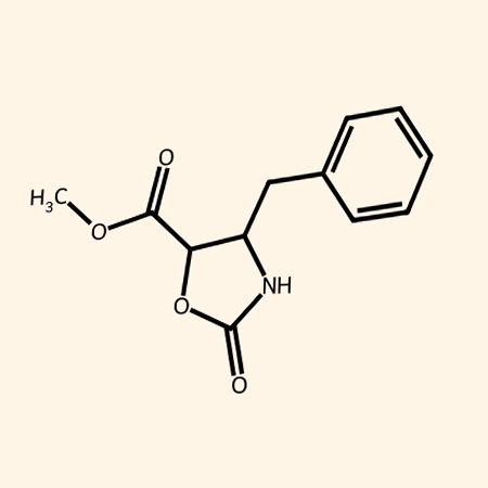 COC(=O)C1OC(=O)NC1Cc1ccccc1